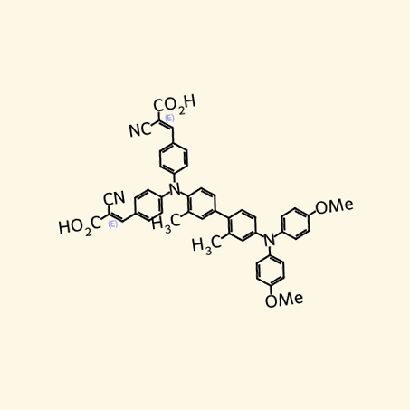 COc1ccc(N(c2ccc(OC)cc2)c2ccc(-c3ccc(N(c4ccc(/C=C(\C#N)C(=O)O)cc4)c4ccc(/C=C(\C#N)C(=O)O)cc4)c(C)c3)c(C)c2)cc1